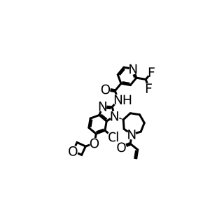 C=CC(=O)N1CCCC[C@@H](n2c(NC(=O)c3ccnc(C(F)F)c3)nc3ccc(OC4COC4)c(Cl)c32)C1